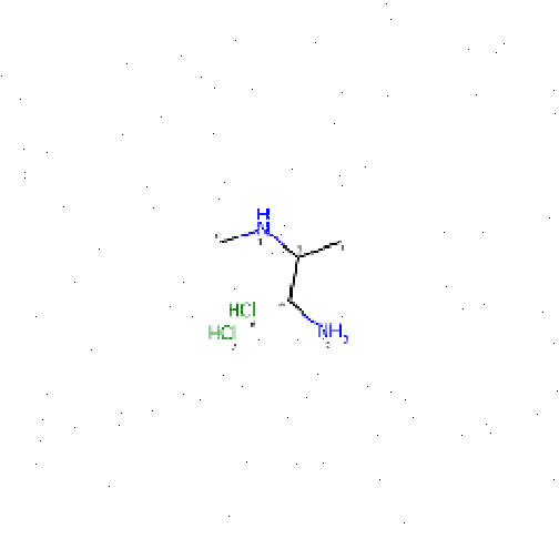 CNC(C)CN.Cl.Cl